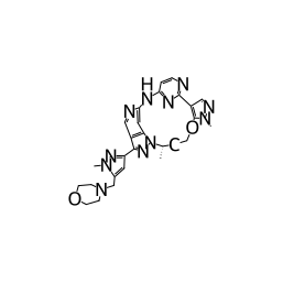 C[C@H]1CCOc2c(cnn2C)-c2nccc(n2)Nc2cc3c(cn2)c(-c2cc(CN4CCOCC4)n(C)n2)nn31